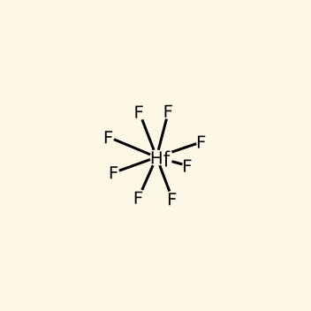 [F][Hf]([F])([F])([F])([F])([F])([F])[F]